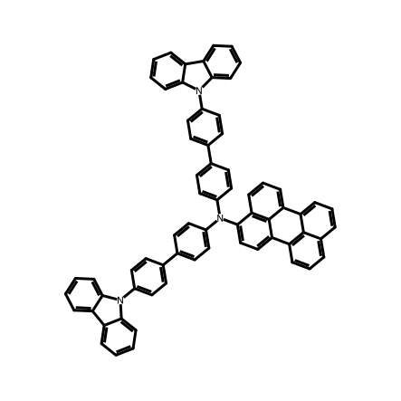 c1cc2cccc3c4ccc(N(c5ccc(-c6ccc(-n7c8ccccc8c8ccccc87)cc6)cc5)c5ccc(-c6ccc(-n7c8ccccc8c8ccccc87)cc6)cc5)c5cccc(c(c1)c23)c54